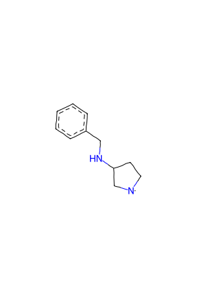 c1ccc(CNC2CC[N]C2)cc1